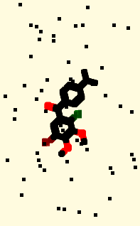 COc1c(Br)cc(C(=O)c2ccc(C(C)C)cc2)c(Cl)c1OC